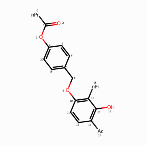 CCCC(=O)Oc1ccc(COc2ccc(C(C)=O)c(O)c2CCC)cc1